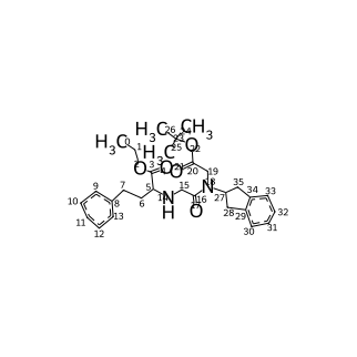 CCOC(=O)C(CCc1ccccc1)NCC(=O)N(CC(=O)OC(C)(C)C)C1Cc2ccccc2C1